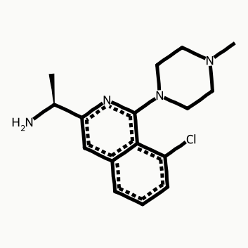 C[C@H](N)c1cc2cccc(Cl)c2c(N2CCN(C)CC2)n1